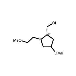 COCCN1CC(OC)C[C@H]1CO